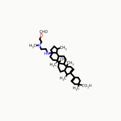 CC1CCC2(NCCN(C)CCOC=O)CC[C@]3(C)C(CCC4C5(C)CC=C(C6=CCC(C)(C(=O)O)CC6)C(C)C5CCC43C)C12